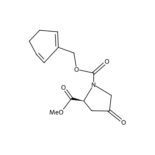 COC(=O)[C@@H]1CC(=O)CN1C(=O)OCC1=CCCC=C1